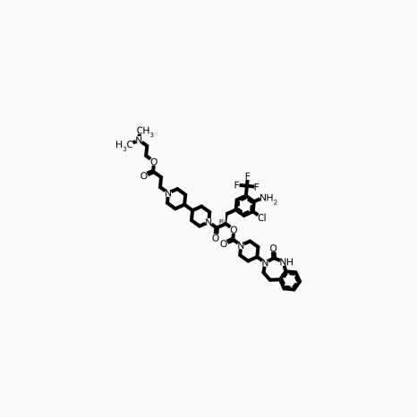 CN(C)CCOC(=O)CCN1CCC(C2CCN(C(=O)[C@@H](Cc3cc(Cl)c(N)c(C(F)(F)F)c3)OC(=O)N3CCC(N4CCc5ccccc5NC4=O)CC3)CC2)CC1